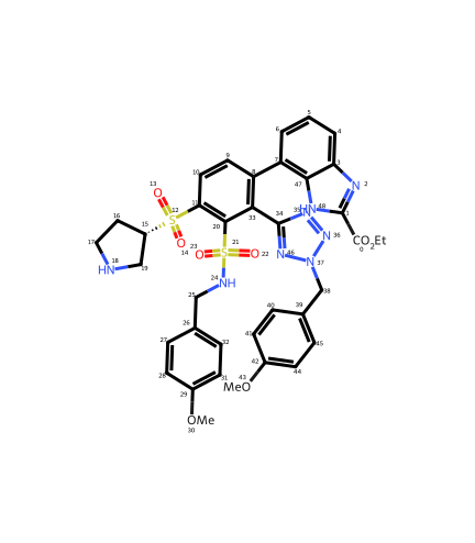 CCOC(=O)c1nc2cccc(-c3ccc(S(=O)(=O)[C@H]4CCNC4)c(S(=O)(=O)NCc4ccc(OC)cc4)c3-c3nnn(Cc4ccc(OC)cc4)n3)c2[nH]1